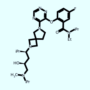 CCN(C(=O)c1cc(F)ccc1Oc1nncnc1N1CCC2(C1)CN([C@@H](C[C@H](O)CN(C)C(C)C)C(C)C)C2)C(C)C